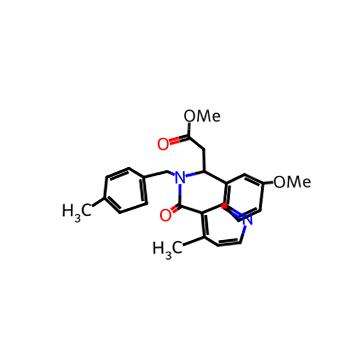 COC(=O)CC(c1cccc(OC)c1)N(Cc1ccc(C)cc1)C(=O)c1cnccc1C